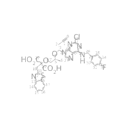 C#CC[C@@H](O[C@@H](C)COC(Cc1nc2ccccc2s1)(C(=O)O)C(=O)O)n1cnc2c(NCc3ccc(F)cc3)nc(Cl)nc21